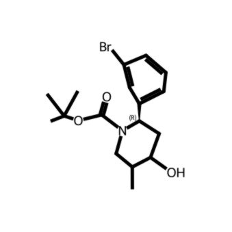 CC1CN(C(=O)OC(C)(C)C)[C@@H](c2cccc(Br)c2)CC1O